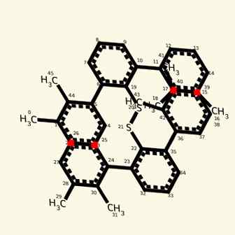 Cc1cccc(-c2cccc(-c3cccc(C)c3C)c2SSc2c(-c3cccc(C)c3C)cccc2-c2cccc(C)c2C)c1C